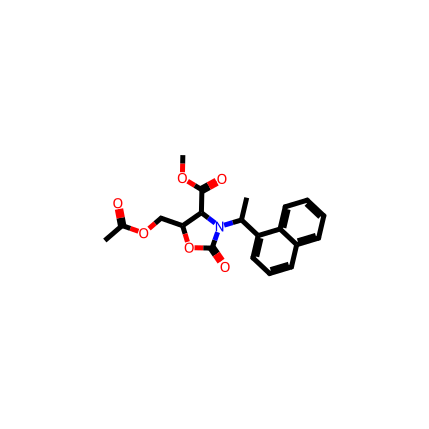 COC(=O)C1C(COC(C)=O)OC(=O)N1C(C)c1cccc2ccccc12